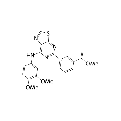 C=C(OC)c1cccc(-c2nc(Nc3ccc(OC)c(OC)c3)c3ncsc3n2)c1